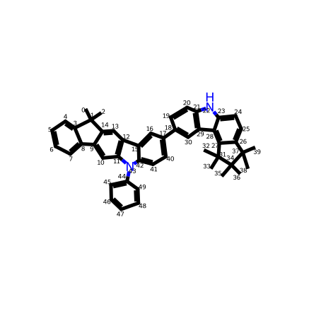 CC1(C)c2ccccc2-c2cc3c(cc21)c1cc(-c2ccc4[nH]c5ccc6c(c5c4c2)C(C)(C)C(C)(C)C6(C)C)ccc1n3-c1ccccc1